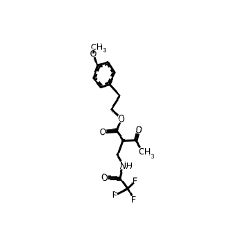 COc1ccc(CCOC(=O)C(CNC(=O)C(F)(F)F)C(C)=O)cc1